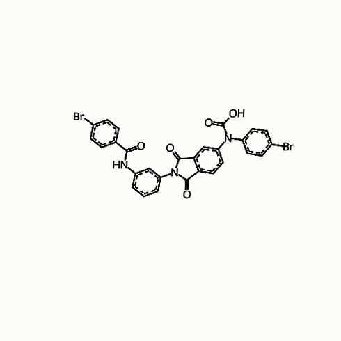 O=C(Nc1cccc(N2C(=O)c3ccc(N(C(=O)O)c4ccc(Br)cc4)cc3C2=O)c1)c1ccc(Br)cc1